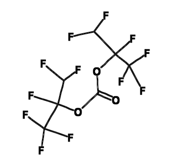 O=C(OC(F)(C(F)F)C(F)(F)F)OC(F)(C(F)F)C(F)(F)F